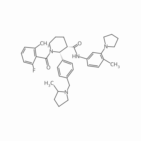 Cc1ccc(NC(=O)[C@H]2CCCN(C(=O)c3c(C)cccc3F)[C@H]2c2ccc(CN3CCCC3C)cc2)cc1N1CCCC1